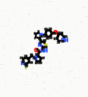 O=C(Nc1nc(C2CCCN2c2ccc(OC3=CCNCC3)cc2)cs1)c1cccn1Cc1ccnc(F)c1